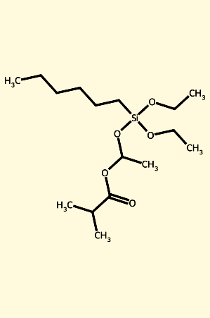 CCCCCC[Si](OCC)(OCC)OC(C)OC(=O)C(C)C